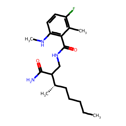 CCCCC[C@H](C)C(CNC(=O)c1c(NC)ccc(F)c1C)C(N)=O